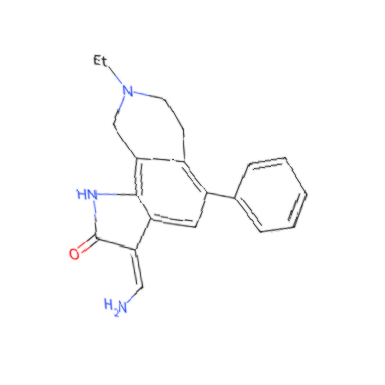 CCN1CCc2c(-c3ccccc3)cc3c(c2C1)NC(=O)/C3=C\N